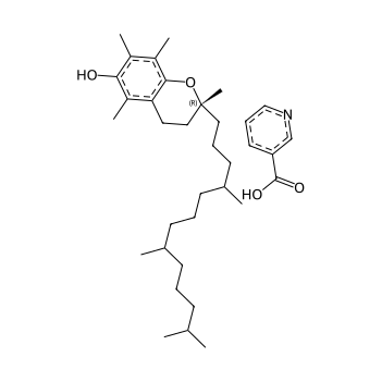 Cc1c(C)c2c(c(C)c1O)CC[C@@](C)(CCCC(C)CCCC(C)CCCC(C)C)O2.O=C(O)c1cccnc1